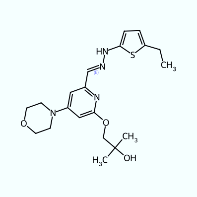 CCc1ccc(N/N=C/c2cc(N3CCOCC3)cc(OCC(C)(C)O)n2)s1